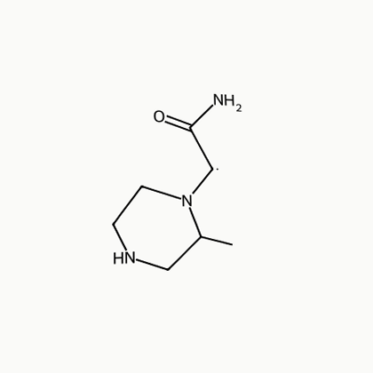 CC1CNCCN1[CH]C(N)=O